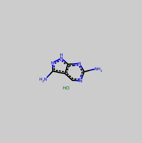 Cl.Nc1ncc2c(N)n[nH]c2n1